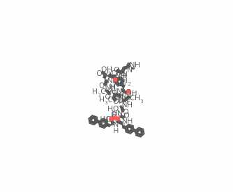 C[C@H](NC(=O)[C@H](CCC(=O)O)NC(=O)C(C)(C)NC(=O)[C@@H](N)Cc1c[nH]cn1)C(=O)N[C@H](C(=O)N[C@@H](Cc1ccccc1)C(=O)N[C@](F)(C(=O)N[C@@H](CO)C(=O)N[C@@H](CC(=O)O)C(=O)N[C@@H](Cc1ccc(-c2ccccc2)cc1)C(=O)N[C@@H](Cc1ccc(-c2ccccc2)cc1)C(=O)O)[C@@H](C)O)[C@@H](C)O